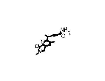 Cc1cc2c(nc1C(C)C#CC(N)=O)C(=O)N(C)C2